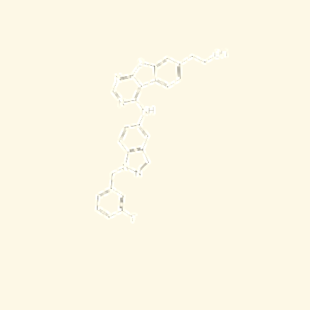 OCCc1ccc2c(c1)sc1ncnc(Nc3ccc4c(cnn4Cc4cccc(F)c4)c3)c12